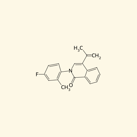 C=C(C)c1cn(-c2ccc(F)cc2C)c(=O)c2ccccc12